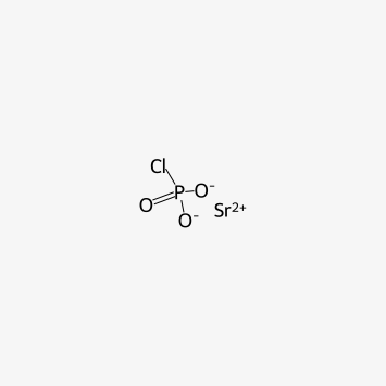 O=P([O-])([O-])Cl.[Sr+2]